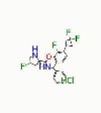 Cl.O=C(NC(c1ccccc1)c1ccc(C2CC(F)(F)C2)c(F)c1)[C@H]1CC(F)CN1